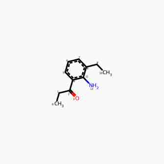 CCC(=O)c1cccc(CC)c1N